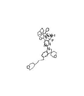 O=C(NC1(C(=O)O)C2CC3CC(C2)CC1C3)c1cnc(N2CC3(CCOCC3)c3cc(CCCC4CCOCC4)ccc32)nc1C(F)(F)F